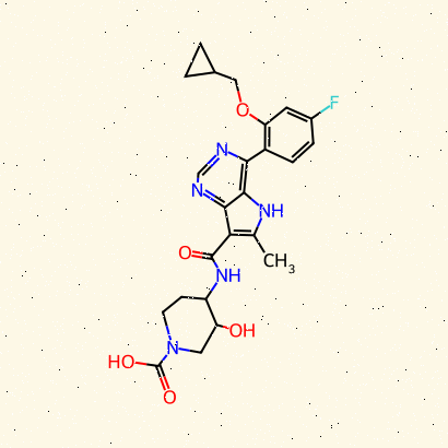 Cc1[nH]c2c(-c3ccc(F)cc3OCC3CC3)ncnc2c1C(=O)NC1CCN(C(=O)O)CC1O